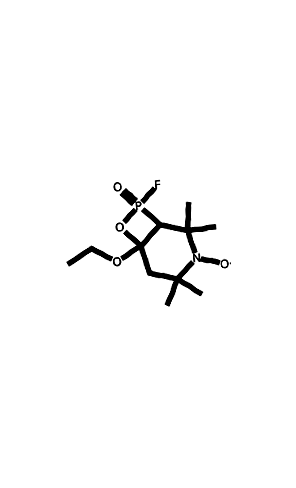 CCOC12CC(C)(C)N([O])C(C)(C)C1P(=O)(F)O2